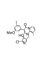 COc1cc(I)cc(-c2c(O)n(Cc3cnc(Cl)s3)c3c(C)ccc[n+]3c2=O)c1